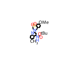 COc1ccc2c(c1)S(=O)(=O)CCN(c1cc(NC(=O)OC(C)(C)C)c3cc(C)ccc3n1)C2